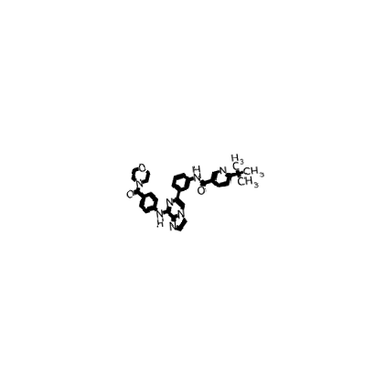 CC(C)(C)c1ccc(C(=O)Nc2cccc(-c3cn4ccnc4c(Nc4ccc(C(=O)N5CCOCC5)cc4)n3)c2)cn1